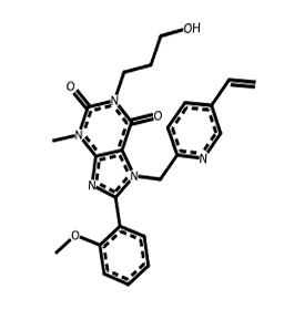 C=Cc1ccc(Cn2c(-c3ccccc3OC)nc3c2c(=O)n(CCCO)c(=O)n3C)nc1